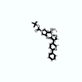 CC(C)(C)OC(=O)N1Cc2nc3c(-c4ccc(-c5ccccc5)nc4)cnn3c(N)c2C1